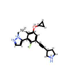 Cn1nccc1-c1c(F)c(C#CC2CCNC2)cc(OC2CC2)c1C#N